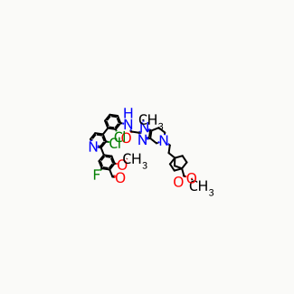 COC(=O)C12CCC(CCN3CCc4c(nc(C(=O)Nc5cccc(-c6ccnc(-c7cc(F)c(C=O)c(OC)c7)c6Cl)c5Cl)n4C)C3)(CC1)C2